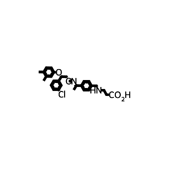 C/C(=N\OCC(Oc1ccc(C)c(C)c1)c1cccc(Cl)c1)c1ccc(CNCCC(=O)O)cc1